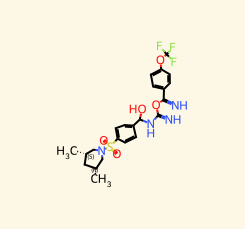 C[C@@H]1C[C@H](C)CN(S(=O)(=O)c2ccc(C(O)NC(=N)OC(=N)c3ccc(OC(F)(F)F)cc3)cc2)C1